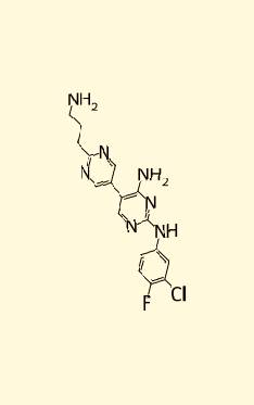 NCCCc1ncc(-c2cnc(Nc3ccc(F)c(Cl)c3)nc2N)cn1